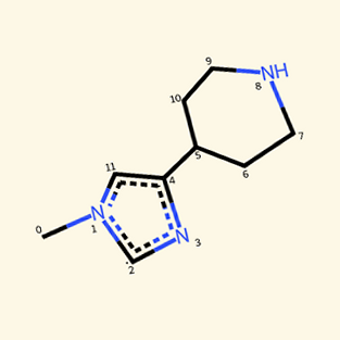 Cn1[c]nc(C2CCNCC2)c1